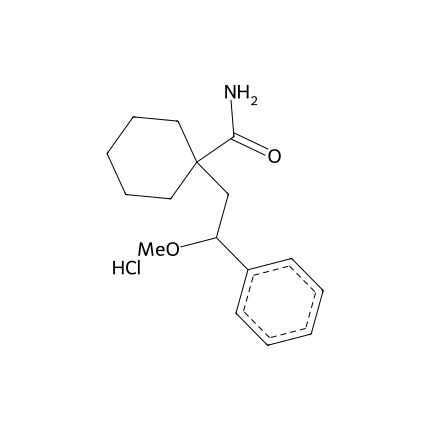 COC(CC1(C(N)=O)CCCCC1)c1ccccc1.Cl